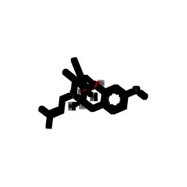 COc1ccc2c(c1)[C@]13CCN(CC=C(C)C)[C@H](C2)[C@@H]1CC(C)(C)OC3